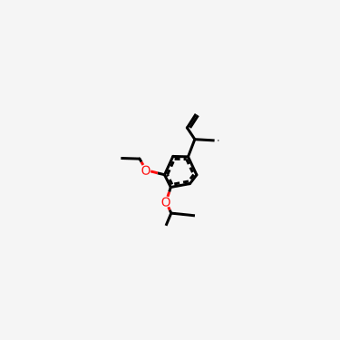 [CH2]C(C=C)c1ccc(OC(C)C)c(OCC)c1